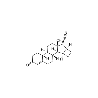 C[C@]12CC[C@H]3[C@@H](CCC4=CC(=O)CC[C@@H]43)[C@@H]1[C@@H]1CC[C@@H]1[C@@H]2C#N